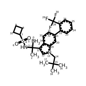 BC(C)(NS(=O)(=O)C1CCC1)c1cn(CC(C)(C)C)c2cc(-c3ccccc3C(F)(F)F)ccc12